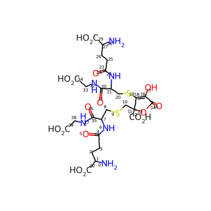 NC(CCC(=O)NC(CSCC1(C(=O)O)OC(=O)C(O)=C1SCC(NC(=O)CCC(N)C(=O)O)C(=O)NCC(=O)O)C(=O)NCC(=O)O)C(=O)O